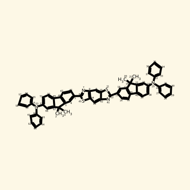 CC1(C)c2cc(-c3nc4cc5sc(-c6ccc7c(c6)C(C)(C)c6cc(N(c8ccccc8)c8ccccc8)ccc6-7)nc5cc4s3)ccc2-c2ccc(N(c3ccccc3)c3ccccc3)cc21